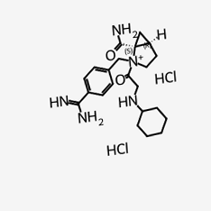 Cl.Cl.N=C(N)c1ccc(C[N+]2(C(=O)CNC3CCCCC3)CC[C@@H]3C[C@@]32C(N)=O)cc1